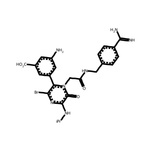 CC(C)Nc1nc(Br)c(-c2cc(N)cc(C(=O)O)c2)n(CC(=O)NCc2ccc(C(=N)N)cc2)c1=O